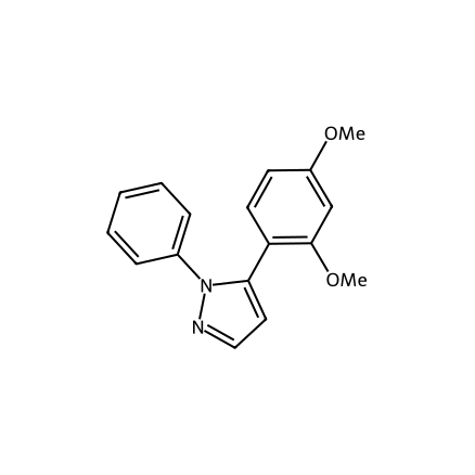 COc1ccc(-c2ccnn2-c2ccccc2)c(OC)c1